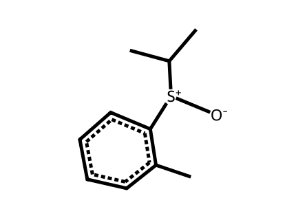 Cc1ccccc1[S+]([O-])C(C)C